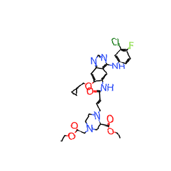 CCOC(=O)CN1CCN(C/C=C/C(=O)Nc2cc3c(Nc4ccc(F)c(Cl)c4)ncnc3cc2OCC2CC2)C(C(=O)OCC)C1